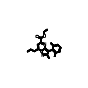 CCCc1cc(C(=O)OCC)nc2c(-c3c(C)cccc3C)c(C)nn12